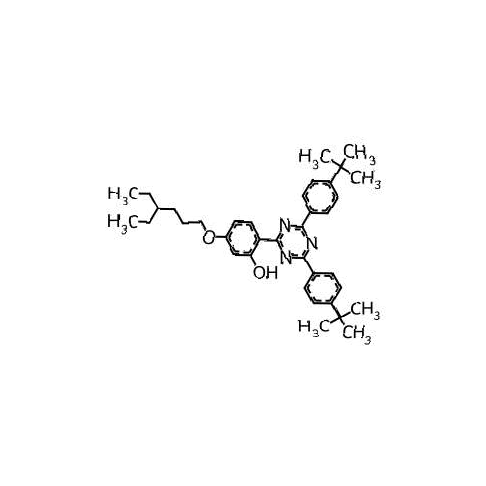 CCC(CC)CCCOc1ccc(-c2nc(-c3ccc(C(C)(C)C)cc3)nc(-c3ccc(C(C)(C)C)cc3)n2)c(O)c1